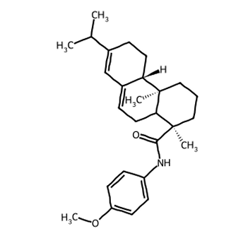 COc1ccc(NC(=O)[C@]2(C)CCC[C@@]3(C)C2CC=C2C=C(C(C)C)CC[C@@H]23)cc1